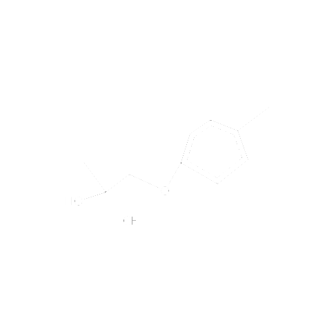 Cc1ccc(OC[C@](C)(O)C(F)(F)F)cc1